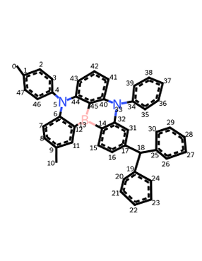 Cc1ccc(N2c3ccc(C)cc3B3c4ccc(C(c5ccccc5)c5ccccc5)cc4N(c4ccccc4)c4cccc2c43)cc1